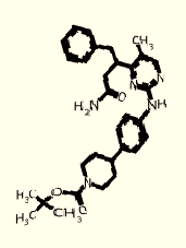 Cc1cnc(Nc2ccc(C3CCN(C(=O)OC(C)(C)C)CC3)cc2)nc1C(CC(N)=O)Cc1ccccc1